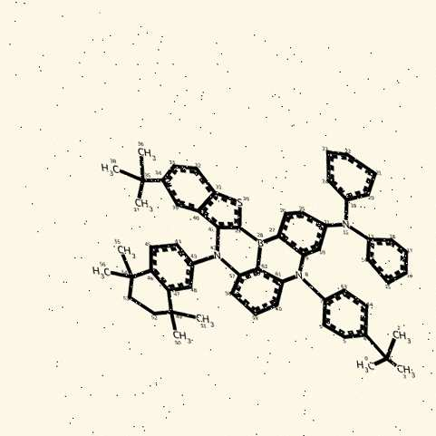 CC(C)(C)c1ccc(N2c3cc(N(c4ccccc4)c4ccccc4)ccc3B3c4sc5ccc(C(C)(C)C)cc5c4N(c4ccc5c(c4)C(C)(C)CCC5(C)C)c4cccc2c43)cc1